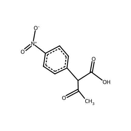 CC(=O)C(C(=O)O)c1ccc([N+](=O)[O-])cc1